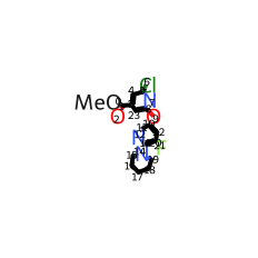 COC(=O)c1cc(Cl)nc(Oc2cnc(N3CCCCC3)c(F)c2)c1